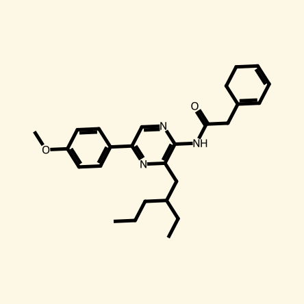 CCCC(CC)Cc1nc(-c2ccc(OC)cc2)cnc1NC(=O)CC1=CC=CCC1